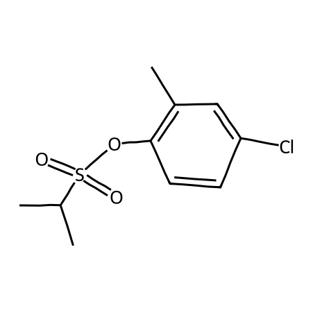 Cc1cc(Cl)ccc1OS(=O)(=O)C(C)C